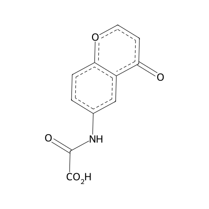 O=C(O)C(=O)Nc1ccc2occc(=O)c2c1